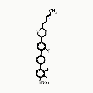 C/C=C/CCC1CCC(c2ccc(-c3ccc(-c4ccc(CCCCCCCCC)c(F)c4F)cc3)c(F)c2)CO1